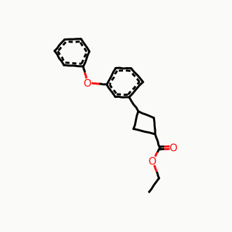 CCOC(=O)C1CC(c2cccc(Oc3ccccc3)c2)C1